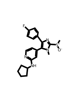 Cn1c([S+](C)[O-])nc(-c2ccc(F)cc2)c1-c1ccnc(NC2CCCC2)c1